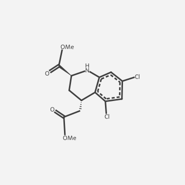 COC(=O)C[C@@H]1C[C@@H](C(=O)OC)Nc2cc(Cl)cc(Cl)c21